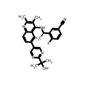 Cc1nc2ccc(-c3cnc(C(C)(C)O)nc3)cc2c(N[C@H](C)c2cc(C#N)ccc2F)c1C